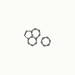 C1=Cc2cccc3cccc1c23.c1ccccc1